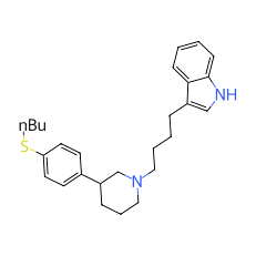 CCCCSc1ccc(C2CCCN(CCCCc3c[nH]c4ccccc34)C2)cc1